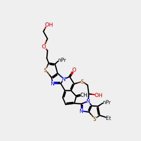 C=c1c2ccc3c1c(c(=O)n1c3nc3sc(CCOCCO)c(CCC)c31)SCC(O)n1c-2nc2sc(CC)c(CCC)c21